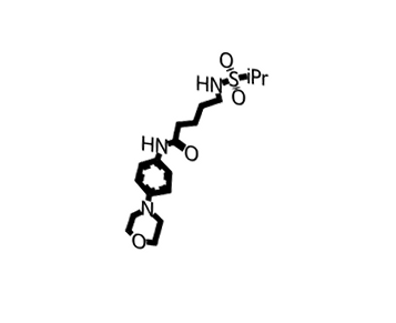 CC(C)S(=O)(=O)NCCCCC(=O)Nc1ccc(N2CCOCC2)cc1